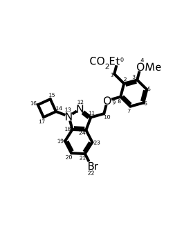 CCOC(=O)Cc1c(OC)cccc1OCc1nn(C2CCC2)c2ccc(Br)cc12